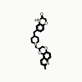 Cc1ccc2c3c(ccc2n1)OC[C@H](CN1CCC(Cc2ccc4c(c2)NC(=O)CO4)CC1)O3